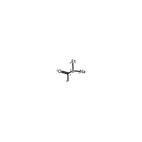 CC[B]([Na])C(C)=O